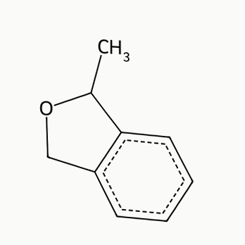 CC1OCc2ccccc21